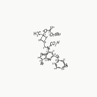 CC(C)(C)OC(=O)OC1(C)CC(CN(C(=O)O)c2cc(Oc3cccnc3)nc3c(Br)cnn23)C1